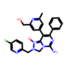 Cc1cc(C2=C(c3ccccc3)N=C(N)N3CN(Cc4ccc(F)cn4)[N+]([O-])=C23)cc(CO)n1